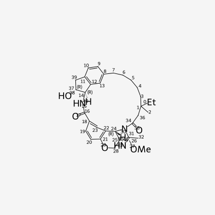 CCC1(C)CCCCCc2ccc3c(c2)[C@@H](NC(=O)c2ccc4c(c2)[C@@H]([C@H](COC)CO4)N(C(C)=N)C(=O)C1)[C@H](O)C3